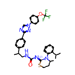 CC(C)c1ccccc1N1/C(=N/C(=O)NCC(C)c2ccc(-c3ncn(-c4ccc(OC(F)(F)F)cc4)n3)cc2)SCCC1C